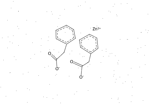 O=C([O-])Cc1ccccc1.O=C([O-])Cc1ccccc1.[Zn+2]